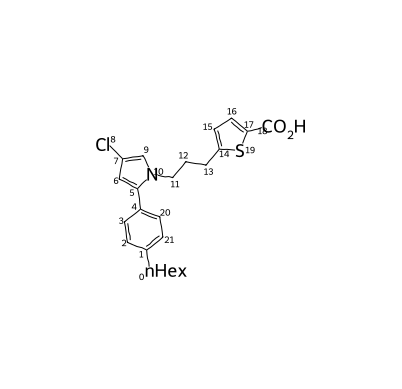 CCCCCCc1ccc(-c2cc(Cl)cn2CCCc2ccc(C(=O)O)s2)cc1